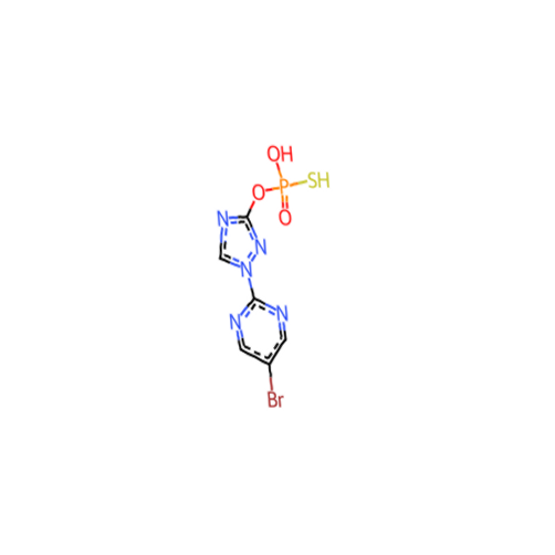 O=P(O)(S)Oc1ncn(-c2ncc(Br)cn2)n1